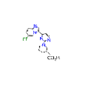 O=C(O)CC1CCCN(c2nccc(-c3cnc4ccc(Cl)cn34)n2)C1